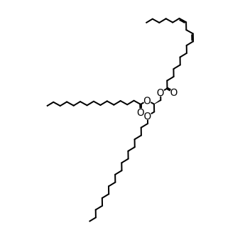 CCCCC/C=C\C/C=C\CCCCCCCC(=O)OC[C@@H](COCCCCCCCCCCCCCCCCCC)OC(=O)CCCCCCCCCCCCCC